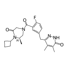 Cc1c(Cc2ccc(F)c(C(=O)N3CC(=O)N(C4CCC4)[C@H](C)C3)c2)n[nH]c(=O)c1C